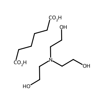 O=C(O)CCCCC(=O)O.OCCN(CCO)CCO